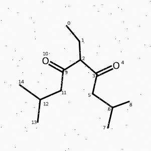 CCC(C(=O)CC(C)C)C(=O)CC(C)C